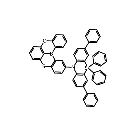 c1ccc(-c2ccc3c(c2)[Si](c2ccccc2)(c2ccccc2)c2cc(-c4ccccc4)ccc2N3c2ccc3c(c2)B2c4ccccc4Oc4cccc(c42)S3)cc1